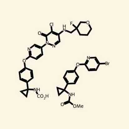 COC(=O)NC1(c2ccc(Oc3ccc(Br)cn3)cc2)CC1.O=C(O)NC1(c2ccc(Oc3ccc(-n4ncc(NCC5(F)CCCOC5)c(Cl)c4=O)cn3)cc2)CC1